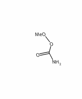 COOC(N)=O